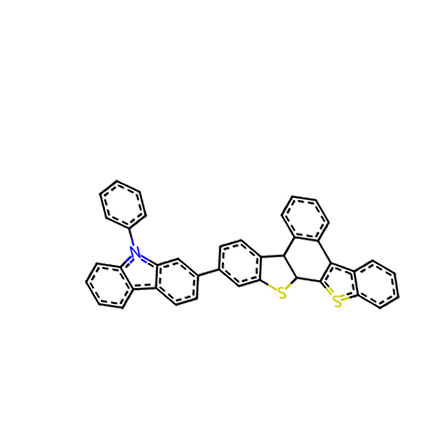 c1ccc(-n2c3ccccc3c3ccc(-c4ccc5c(c4)SC4c6sc7ccccc7c6-c6ccccc6C54)cc32)cc1